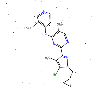 CCOC(=O)c1cnccc1Nc1nc(-c2nn(CC3CC3)c(Br)c2C)ncc1OC